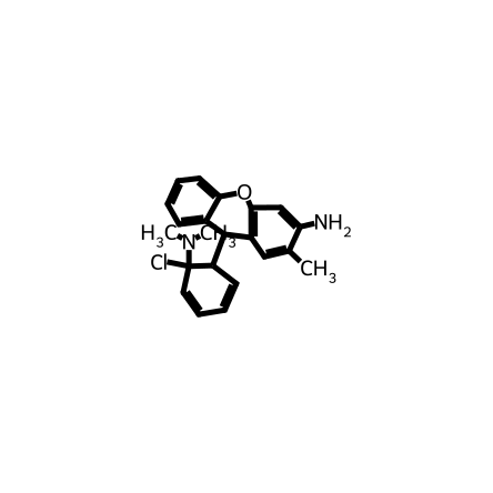 Cc1cc2c(cc1N)Oc1ccccc1C2C1C=CC=CC1(Cl)N(C)C